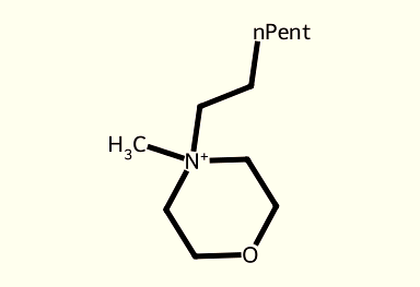 CCCCCCC[N+]1(C)CCOCC1